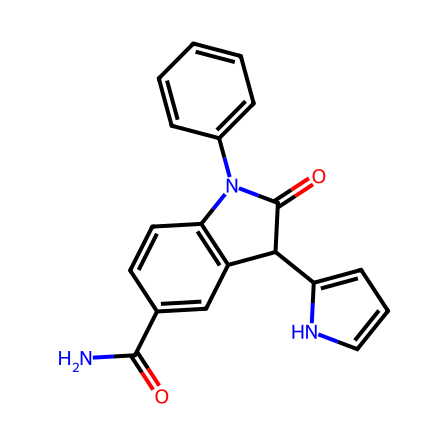 NC(=O)c1ccc2c(c1)C(c1ccc[nH]1)C(=O)N2c1ccccc1